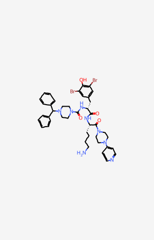 NCCCC[C@H](NC(=O)[C@@H](Cc1cc(Br)c(O)c(Br)c1)NC(=O)N1CCN(C(c2ccccc2)c2ccccc2)CC1)C(=O)N1CCN(c2ccncc2)CC1